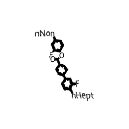 CCCCCCCCCc1ccc(OC(=O)c2ccc(-c3ccc(CCCCCCC)c(F)c3)cc2)c(F)c1